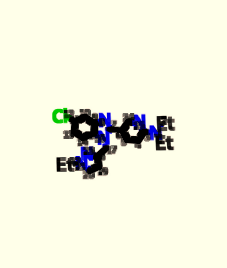 CCN(CC)c1ccc(-c2nc3cc(Cl)ccc3n2Cc2ccn(CC)n2)cn1